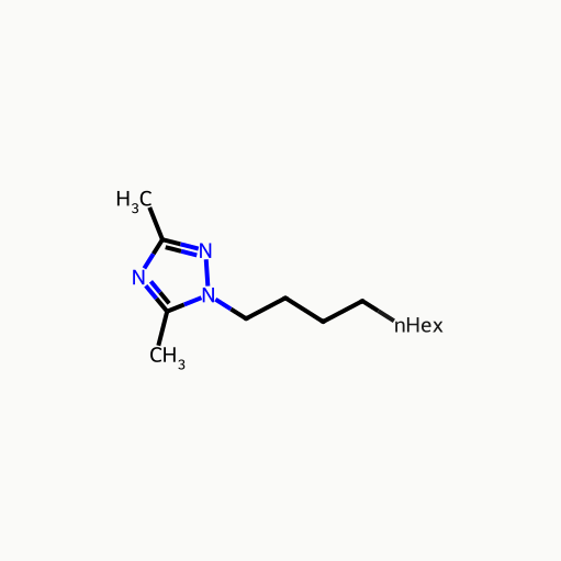 CCCCCCCCCCn1nc(C)nc1C